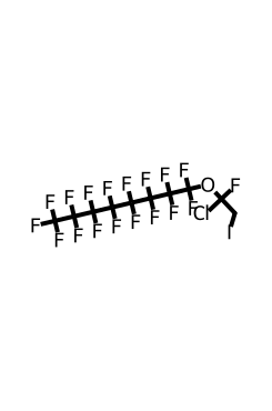 FC(Cl)(CI)OC(F)(F)C(F)(F)C(F)(F)C(F)(F)C(F)(F)C(F)(F)C(F)(F)C(F)(F)F